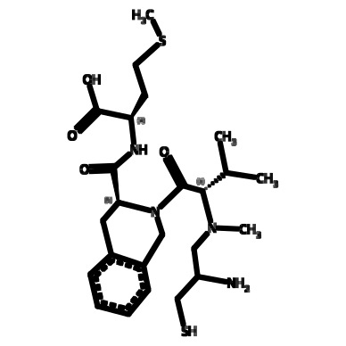 CSCC[C@@H](NC(=O)[C@@H]1Cc2ccccc2CN1C(=O)[C@H](C(C)C)N(C)CC(N)CS)C(=O)O